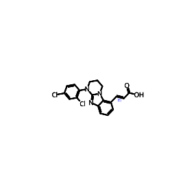 O=C(O)/C=C/c1cccc2nc3n(c12)CCCN3c1ccc(Cl)cc1Cl